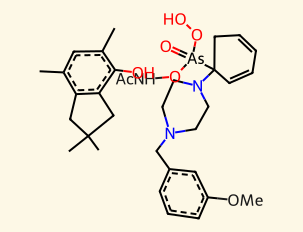 COc1cccc(CN2CCN(C3([As](=O)(OO)ONC(C)=O)C=CC=CC3)CC2)c1.Cc1cc(C)c2c(c1O)CC(C)(C)C2